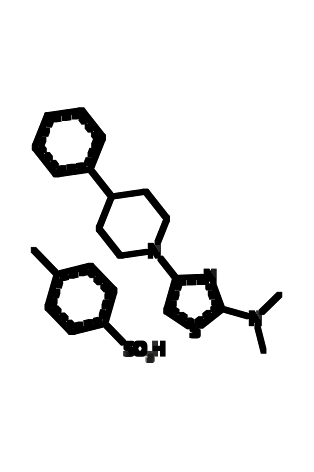 CN(C)c1nc(N2CCC(c3ccccc3)CC2)cs1.Cc1ccc(S(=O)(=O)O)cc1